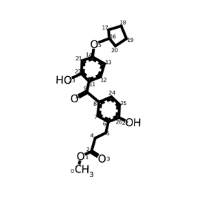 COC(=O)CCc1cc(C(=O)c2ccc(OC3CCCC3)cc2O)ccc1O